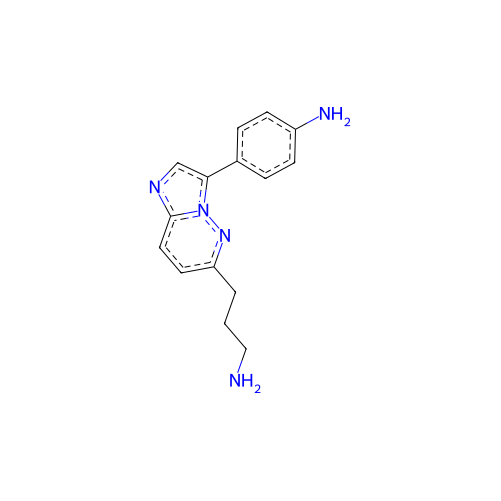 NCCCc1ccc2ncc(-c3ccc(N)cc3)n2n1